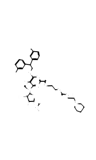 CCNC(=O)[C@H]1O[C@@H](n2cnc3c(NCC(c4cccc(Cl)c4)c4cccc(Cl)c4)nc(C(=O)NCCNC(=O)NCCN4CCCCC4)nc32)[C@H](O)[C@@H]1O